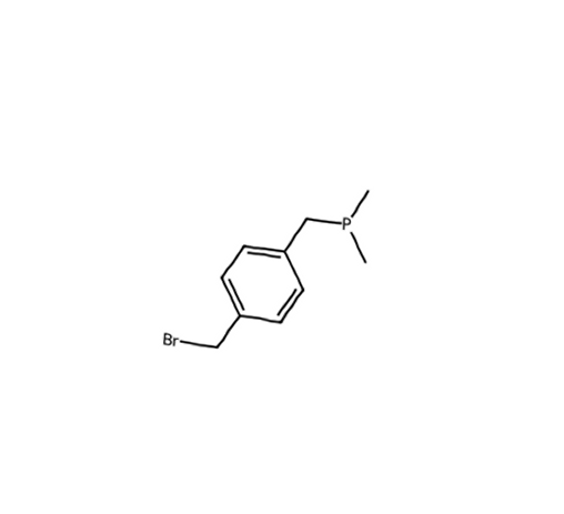 CP(C)Cc1ccc(CBr)cc1